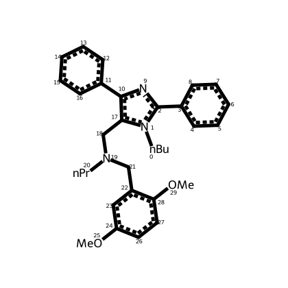 CCCCn1c(-c2ccccc2)nc(-c2ccccc2)c1CN(CCC)Cc1cc(OC)ccc1OC